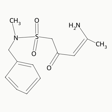 C/C(N)=C/C(=O)CS(=O)(=O)N(C)Cc1ccccc1